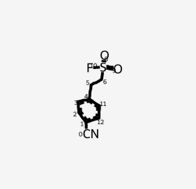 N#Cc1ccc(CCS(=O)(=O)F)cc1